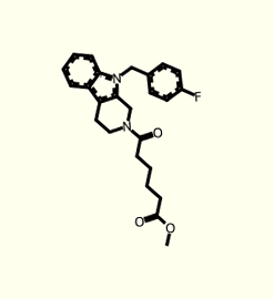 COC(=O)CCCCC(=O)N1CCc2c(n(Cc3ccc(F)cc3)c3ccccc23)C1